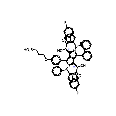 C#Cc1ccccc1-c1c2/c(=C(\C#N)c3nc4ccc(F)cc4o3)n(B(c3ccccc3)c3ccccc3)c(-c3ccc(OCCCS(=O)(=O)O)cc3)c2/c(=C(\C#N)c2nc3ccc(F)cc3o2)n1B(c1ccccc1)c1ccccc1